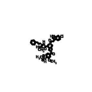 CNC(=O)[C@H](CCCc1ccccc1)NC(=O)C1CN(C(=O)Cc2c[nH]c3cc(Cl)ccc23)CC2CN(C(=O)c3ccc(NS(C)(=O)=O)c(OC)c3)CC21